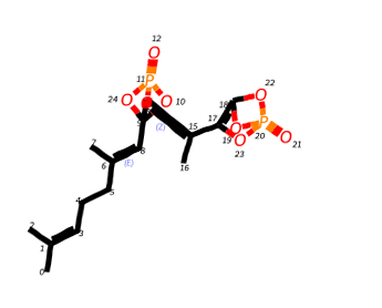 CC(C)=CCC/C(C)=C/C12OP(=O)(O/C1=C(/C)C1=C3OP(=O)(O3)O1)O2